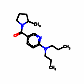 CCCN(CCC)c1ccc(C(=O)N2CCCC2C)cn1